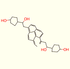 C=C(CC(O)C1CCC(O)CC1)c1ccc2ccc(CC(O)C3CCC(O)CC3)c3cc/c(=C/C)c1c23